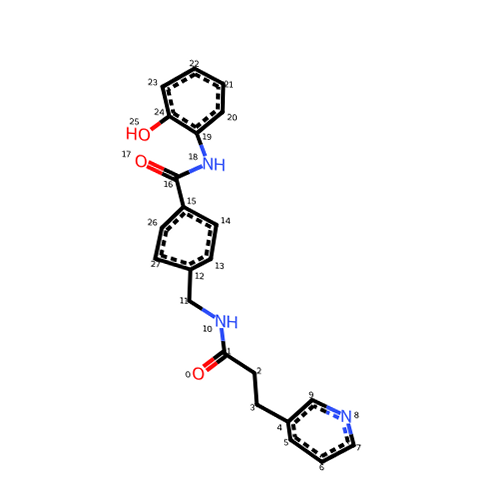 O=C(CCc1cccnc1)NCc1ccc(C(=O)Nc2ccccc2O)cc1